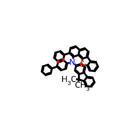 CC1(C)c2ccccc2-c2ccc(N(c3ccc(-c4ccccc4)cc3)c3c(-c4ccccc4)ccc4ccc5c6ccccc6sc5c34)cc21